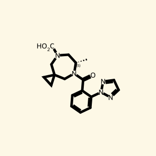 C[C@H]1CN(C(=O)O)CC2(CC2)CN1C(=O)c1ccccc1-n1nccn1